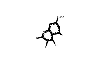 COc1cc(F)c2c(Cl)c(F)c(F)nc2c1